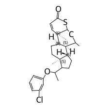 CC(Oc1cccc(Cl)c1)C1CC[C@H]2[C@@H]3C(C)CC4SC(=O)C=C[C@]4(C)[C@@H]3CC[C@]12C